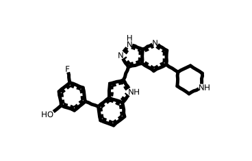 Oc1cc(F)cc(-c2cccc3[nH]c(-c4n[nH]c5ncc(C6CCNCC6)cc45)cc23)c1